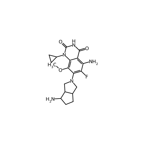 COc1c(N2CC3CCC(N)C3C2)c(F)c(N)c2c(=O)[nH]c(=O)n(C3CC3)c12